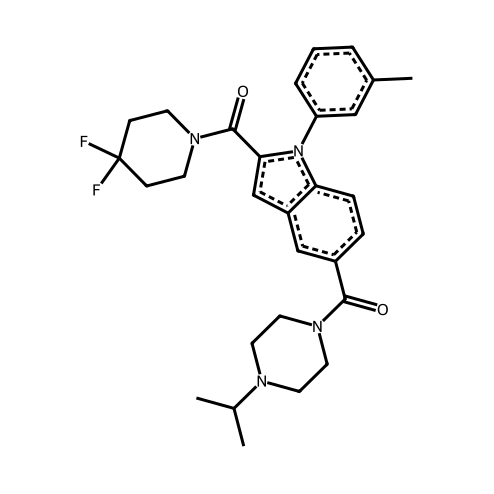 Cc1cccc(-n2c(C(=O)N3CCC(F)(F)CC3)cc3cc(C(=O)N4CCN(C(C)C)CC4)ccc32)c1